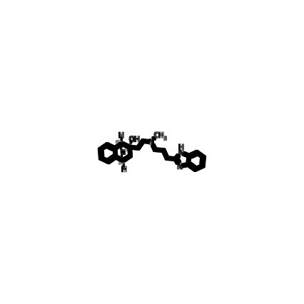 CN(CCCc1nc2ccccc2[nH]1)CC[C@@]1(O)C[C@@H]2CC[C@H]1c1ccccc12